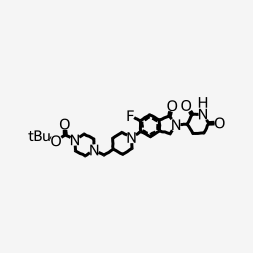 CC(C)(C)OC(=O)N1CCN(CC2CCN(c3cc4c(cc3F)C(=O)N(C3CCC(=O)NC3=O)C4)CC2)CC1